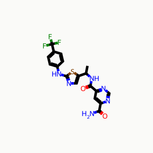 CC(NC(=O)c1cc(C(N)=O)ncn1)c1cnc(Nc2ccc(C(F)(F)F)cc2)s1